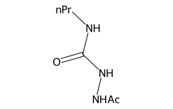 CCCNC(=O)NNC(C)=O